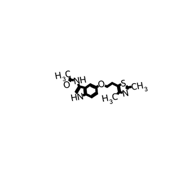 CC(=O)Nc1c[nH]c2ccc(OCCc3sc(C)nc3C)cc12